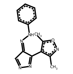 Cc1noc(C)c1C1=NN=[C]C1=NNc1ccccc1